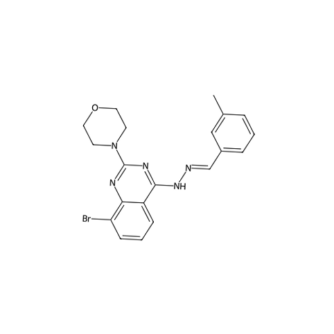 Cc1cccc(C=NNc2nc(N3CCOCC3)nc3c(Br)cccc23)c1